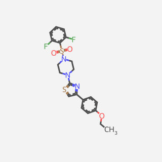 CCOc1ccc(-c2csc(N3CCN(S(=O)(=O)c4c(F)cccc4F)CC3)n2)cc1